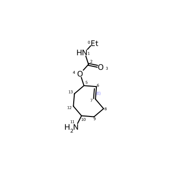 CCNC(=O)OC1/C=C/CCC(N)CC1